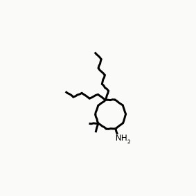 CCCCCCC1(CCCCC)CCCCC(N)CC(C)(C)CC1